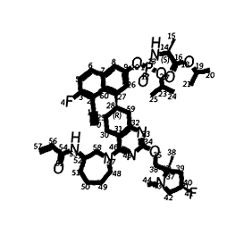 C#Cc1c(F)ccc2cc(OP(=O)(N[C@@H](C)C(=O)OC(C)C)OC(C)C)cc([C@@H]3CCc4c(nc(OC[C@]5(C)C[C@@H](F)CN5C)nc4N4CCCCC(NC(=O)C=C)C4)C3)c12